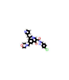 O=C(NCc1ccc(Cl)cc1)c1cn2cc(Cc3cccnc3)c3cc(CN4CCOCC4)cc(c1=O)c32